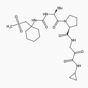 CC(C)(C)[C@H](NC(=O)NC1(CS(C)(=O)=O)CCCCC1)C(=O)N1CCC[C@H]1C(=O)NCC(=O)C(=O)NC1CC1